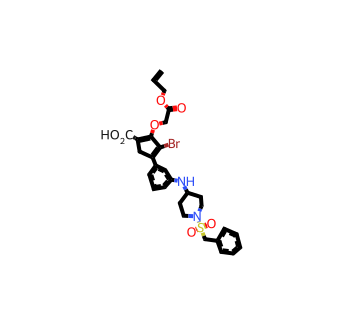 C=CCOC(=O)COC1=C(C(=O)O)CC(c2cccc(NC3CCN(S(=O)(=O)Cc4ccccc4)CC3)c2)=C1Br